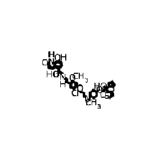 COc1cc(OCCCN(C)[C@H]2CC[C@H](OC(=O)C(O)(c3cccs3)c3cccs3)CC2)c(Cl)cc1CCNC[C@H](O)c1ccc(O)c2[nH]c(=O)ccc12